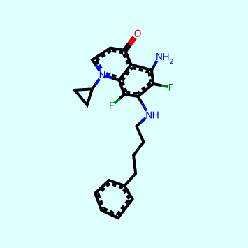 Nc1c(F)c(NCCCCc2ccccc2)c(F)c2c1c(=O)ccn2C1CC1